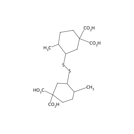 CC1CCC(C(=O)O)(C(=O)O)CC1SSC1CC(C(=O)O)(C(=O)O)CCC1C